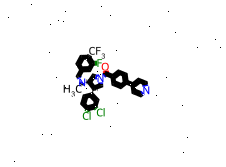 CN(Cc1ccc(C(F)(F)F)c(F)c1)[C@@H]1CN(C(=O)c2ccc(-c3ccncc3)cc2)C[C@@H]1c1ccc(Cl)c(Cl)c1